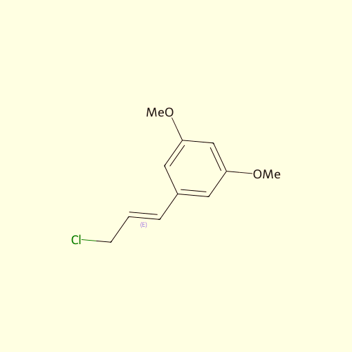 COc1cc(/C=C/CCl)cc(OC)c1